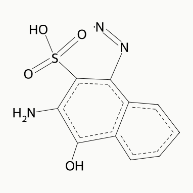 [N]=Nc1c(S(=O)(=O)O)c(N)c(O)c2ccccc12